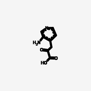 Nc1cnccc1CC(=O)C(=O)O